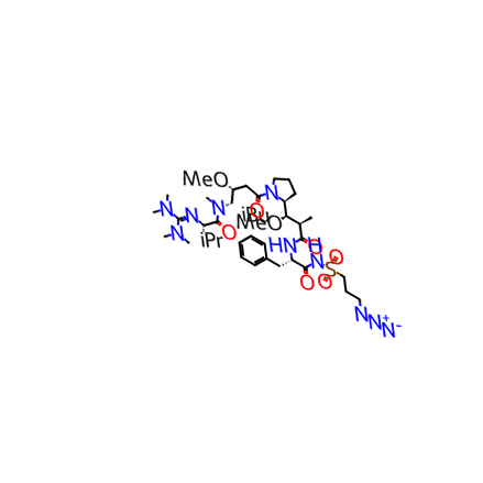 CC[C@H](C)[C@@H]([C@@H](CC(=O)N1CCC[C@H]1[C@H](OC)[C@@H](C)C(=O)N[C@@H](Cc1ccccc1)C(=O)NS(=O)(=O)CCCN=[N+]=[N-])OC)N(C)C(=O)[C@@H](N=C(N(C)C)N(C)C)C(C)C